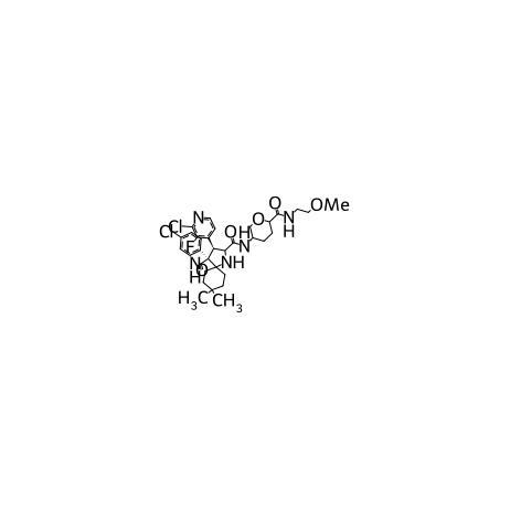 COCCNC(=O)C1CC[C@@H](NC(=O)C2NC3(CCC(C)(C)CC3)[C@@]3(C(=O)Nc4cc(Cl)ccc43)[C@H]2c2ccnc(Cl)c2F)CO1